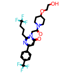 O=C(Cn1c(CCCC(F)(F)F)nc(-c2ccc(C(F)(F)F)cc2)cc1=O)N1CCC(OCCO)CC1